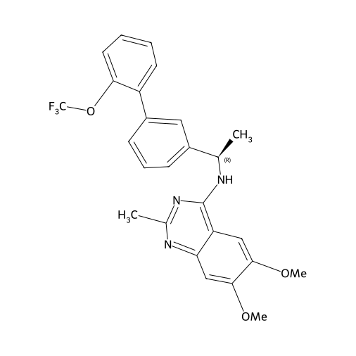 COc1cc2nc(C)nc(N[C@H](C)c3cccc(-c4ccccc4OC(F)(F)F)c3)c2cc1OC